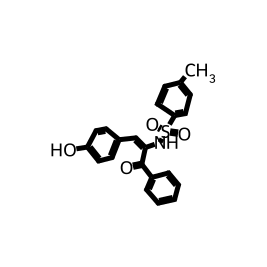 Cc1ccc(S(=O)(=O)NC(=Cc2ccc(O)cc2)C(=O)c2ccccc2)cc1